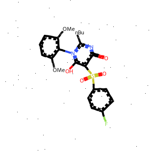 CCCCc1nc(=O)c(S(=O)(=O)c2ccc(F)cc2)c(O)n1-c1c(OC)cccc1OC